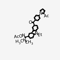 CCn1c2ccc(C(=O)c3ccc(-n4cccc4C(C)=O)cc3)cc2c2cc(C(=NOC(C)=O)N(C)C)ccc21